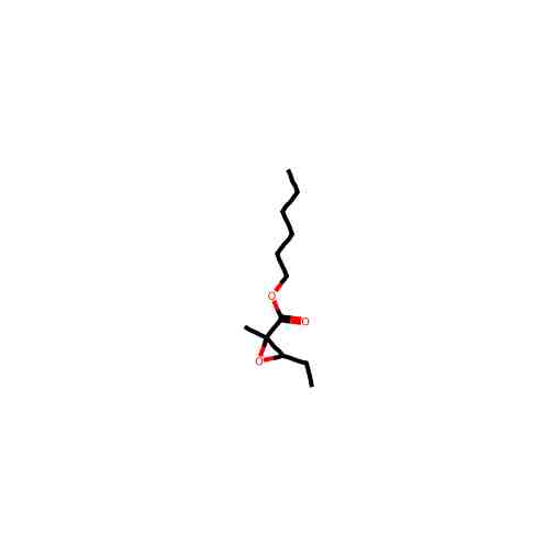 CCCCCCOC(=O)C1(C)OC1CC